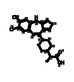 CC(C(=O)O)N1CCN(C2=Nc3cc(Cl)c(Cl)cc3Nc3cscc32)CC1